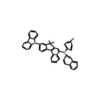 Cc1ccc(N(c2ccc3ccccc3c2)c2cc3c(c4ccccc24)-c2ccc(-n4c5ccccc5c5ccccc54)cc2C3(C)C)cc1